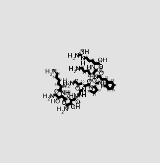 N=C(N)NCC/C=C(\NC(=O)[C@H](CCCCN)NC(=O)C(Cc1ccccc1F)NC(=O)[C@@H]1CCCN1C(=O)[C@@H](CCCN)NC(=O)CNC(=O)[C@@H](NC(=O)[C@@H](NC(=O)[C@@H](N)CCCCN)[C@@H](O)CN)[C@@H](O)CN)C(=O)O